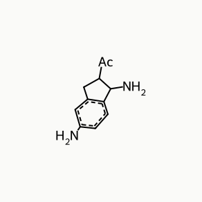 CC(=O)C1Cc2cc(N)ccc2C1N